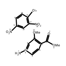 COC(=O)c1cc[n+](N)cc1OC.O=[N+]([O-])c1ccc([O-])c([N+](=O)[O-])c1